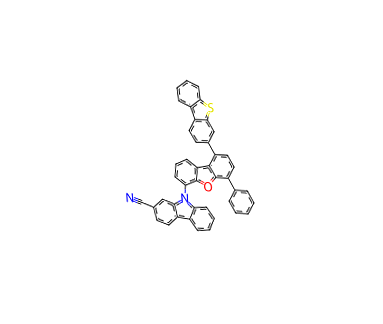 N#Cc1ccc2c3ccccc3n(-c3cccc4c3oc3c(-c5ccccc5)ccc(-c5ccc6c(c5)sc5ccccc56)c34)c2c1